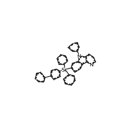 c1ccc(-c2ccc([Si](c3ccccc3)(c3ccccc3)c3ccc4c5ncccc5n(-c5ccccc5)c4c3)cc2)cc1